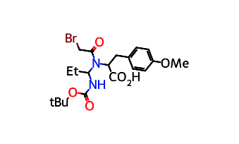 CCC(NC(=O)OC(C)(C)C)N(C(=O)CBr)C(Cc1ccc(OC)cc1)C(=O)O